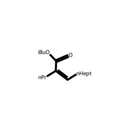 CCCCCCCC=C(CCC)C(=O)OCC(C)C